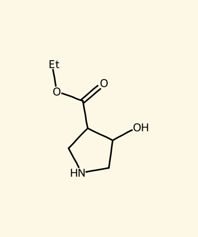 CCOC(=O)C1CNCC1O